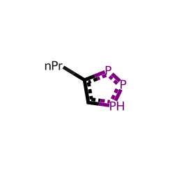 CCCc1c[pH]pp1